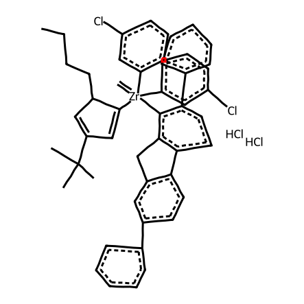 Cl.Cl.[CH2]=[Zr]([C]1=CC(C(C)(C)C)=CC1CCCC)([c]1cccc(Cl)c1)([c]1cccc(Cl)c1)[c]1c(-c2ccccc2)ccc2c1Cc1cc(-c3ccccc3)ccc1-2